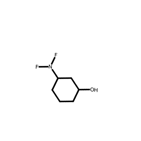 OC1CCCC(N(F)F)C1